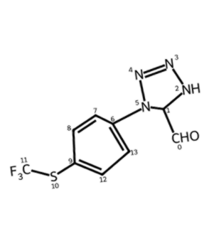 O=CC1NN=NN1c1ccc(SC(F)(F)F)cc1